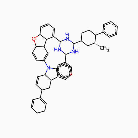 C[C@@H]1CC(C2NC(C3=CC=CC4OC5C=CC(N6c7ccccc7C7CC(C8=CCCC=C8)C=CC76)=CC5C34)NC(c3ccccc3)N2)CCC1c1ccccc1